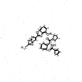 Cc1nn2cc(-c3nc4c(OC[C@H]5CCCN5C(=O)[C@H](NC(=O)c5cccs5)c5ccccc5)cccc4o3)nc2s1